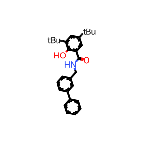 CC(C)(C)c1cc(C(=O)NCc2cccc(-c3ccccc3)c2)c(O)c(C(C)(C)C)c1